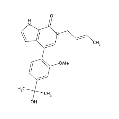 CC=CCn1cc(-c2ccc(C(C)(C)O)cc2OC)c2cc[nH]c2c1=O